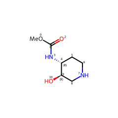 COC(=O)N[C@@H]1CCNC[C@H]1O